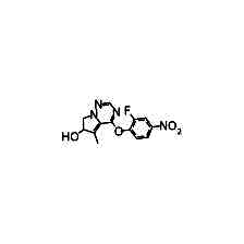 CC1=C2C(Oc3ccc([N+](=O)[O-])cc3F)=NC=NN2CC1O